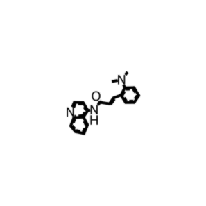 CN(C)c1ccccc1/C=C/C(=O)Nc1ccnc2ccccc12